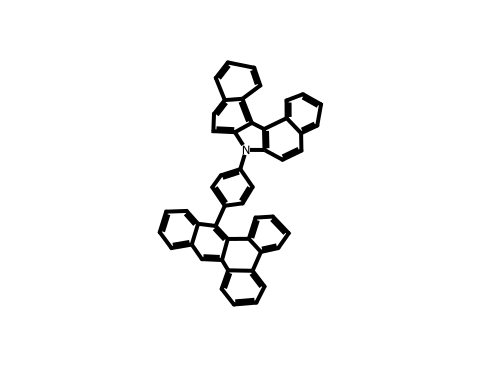 c1ccc2c(-c3ccc(-n4c5ccc6ccccc6c5c5c6ccccc6ccc54)cc3)c3c4ccccc4c4ccccc4c3cc2c1